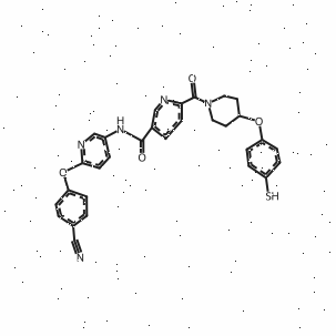 N#Cc1ccc(Oc2ccc(NC(=O)c3ccc(C(=O)N4CCC(Oc5ccc(S)cc5)CC4)nc3)cn2)cc1